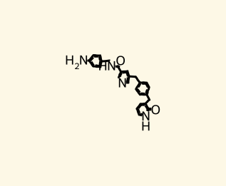 Nc1ccc(CNC(=O)c2cncc(Cc3ccc(Cc4ccc[nH]c4=O)cc3)c2)cc1